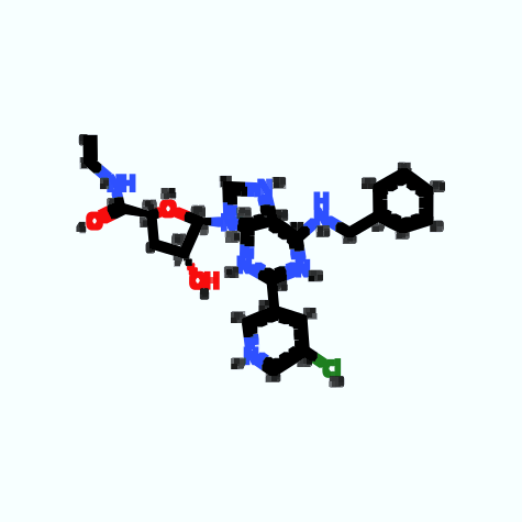 C=CNC(=O)[C@@H]1C[C@@H](O)[C@H](n2cnc3c(NCc4ccccc4)nc(-c4cncc(Cl)c4)nc32)O1